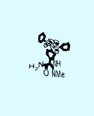 CNc1[nH]c2cc(N(S(=O)(=O)c3ccccc3)S(=O)(=O)c3ccccc3)ccc2c1C(N)=O